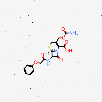 NC(=O)OCC1=C(C(=O)O)N2C(=O)C(NC(=O)COc3ccccc3)[C@H]2SC1